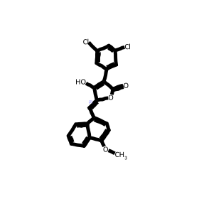 COc1ccc(/C=C2\OC(=O)C(c3cc(Cl)cc(Cl)c3)=C2O)c2ccccc12